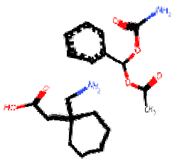 CC(=O)OC(OC(N)=O)c1ccccc1.NCC1(CC(=O)O)CCCCC1